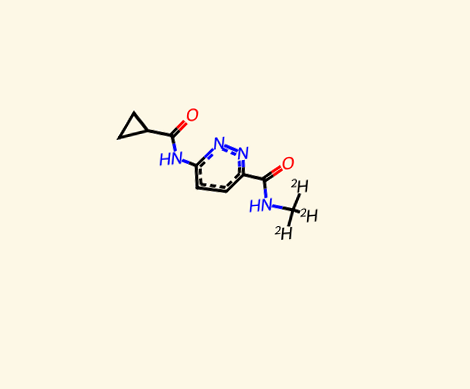 [2H]C([2H])([2H])NC(=O)c1ccc(NC(=O)C2CC2)nn1